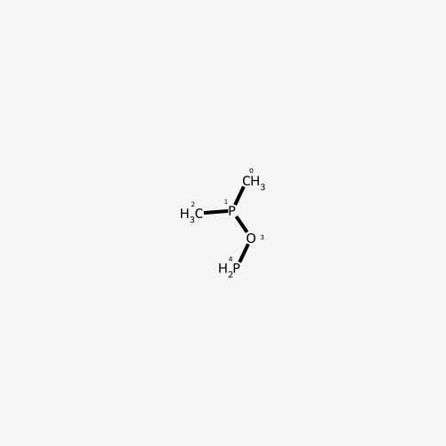 CP(C)OP